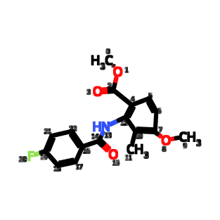 COC(=O)c1ccc(OC)c(C)c1NC(=O)c1ccc(F)cc1